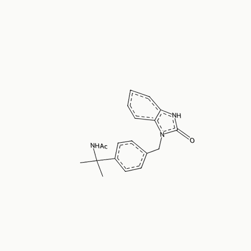 CC(=O)NC(C)(C)c1ccc(Cn2c(=O)[nH]c3ccccc32)cc1